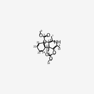 COC(=O)OC1=C(C)NC(C)=C(OC(=O)OC)C1(C)c1ccccc1